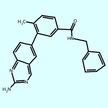 Cc1ccc(C(=O)NCc2ccccc2)cc1-c1ccc2nc(N)ncc2c1